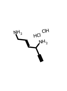 C#CC(N)C=CCN.Cl.Cl